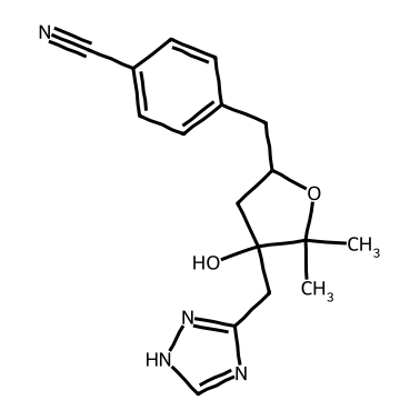 CC1(C)OC(Cc2ccc(C#N)cc2)CC1(O)Cc1nc[nH]n1